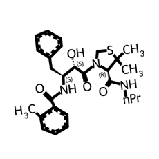 CCCNC(=O)[C@H]1N(C(=O)[C@@H](O)[C@H](Cc2ccccc2)NC(=O)c2ccccc2C)CSC1(C)C